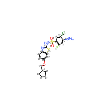 Nc1cc(F)c(S(=O)(=O)Nc2nc3ccc(OCC4CCCC4)cc3s2)cc1Cl